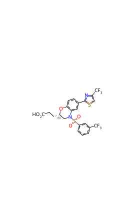 O=C(O)CC[C@H]1CN(S(=O)(=O)c2cccc(C(F)(F)F)c2)c2cc(-c3nc(C(F)(F)F)cs3)ccc2O1